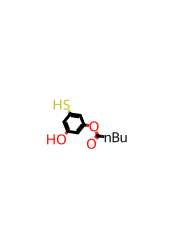 CCCCC(=O)Oc1cc(O)cc(S)c1